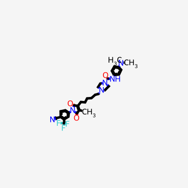 CC1=C(CCCCCCN2CCN(C(=O)Nc3ccc(N(C)C)cc3)CC2)C(=O)N(c2ccc(C#N)c(C(F)(F)F)c2)C1=O